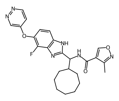 Cc1nocc1C(=O)NC(c1nc2c(F)c(Oc3ccnnc3)ccc2[nH]1)C1CCCCCCC1